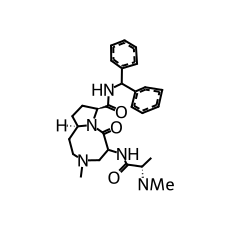 CN[C@@H](C)C(=O)NC1CN(C)CC[C@H]2CC[C@@H](C(=O)NC(c3ccccc3)c3ccccc3)N2C1=O